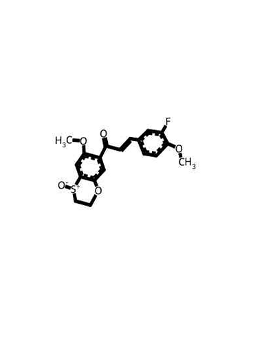 COc1ccc(C=CC(=O)c2cc3c(cc2OC)[S+]([O-])CCO3)cc1F